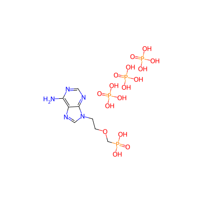 Nc1ncnc2c1ncn2CCOCP(=O)(O)O.O=P(O)(O)O.O=P(O)(O)O.O=P(O)(O)O